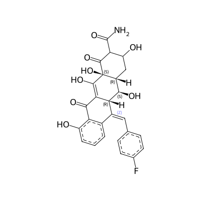 NC(=O)C1C(=O)[C@@]2(O)C(O)=C3C(=O)c4c(O)cccc4/C(=C\c4ccc(F)cc4)[C@H]3[C@H](O)[C@H]2CC1O